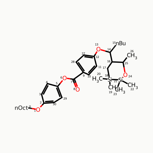 CCCCCCCCOc1ccc(OC(=O)c2ccc(OC(CCCC)C3C[Si](C)(C)[Si](C)(C)OC3C)cc2)cc1